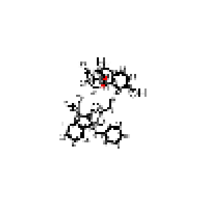 CCC(=O)O[C@](Cc1ccccc1)(c1ccccc1)[C@H](C)CN(C)C.CN1CC[C@]23CCCC[C@H]2[C@H]1Cc1ccc(O)cc13